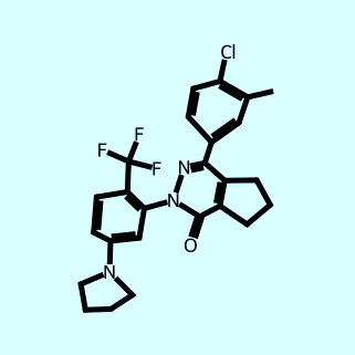 Cc1cc(-c2nn(-c3cc(N4CCCC4)ccc3C(F)(F)F)c(=O)c3c2CCC3)ccc1Cl